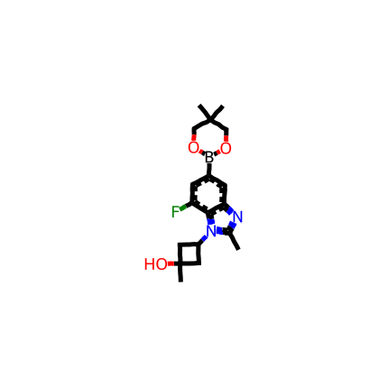 Cc1nc2cc(B3OCC(C)(C)CO3)cc(F)c2n1C1CC(C)(O)C1